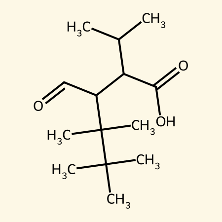 CC(C)C(C(=O)O)C(C=O)C(C)(C)C(C)(C)C